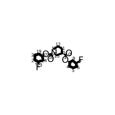 O=C(Oc1cccc(F)c1)[C@@H]1CCCN(C(=O)Oc2cccc(F)c2)C1